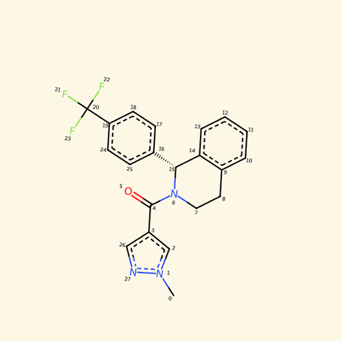 Cn1cc(C(=O)N2CCc3ccccc3[C@H]2c2ccc(C(F)(F)F)cc2)cn1